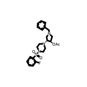 CC(=O)O[C@@H]1CN(Cc2ccccc2)C[C@H]1N1CCN(S(=O)(=O)c2ccccc2F)CC1